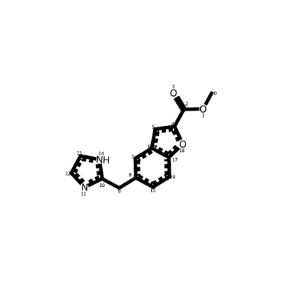 COC(=O)c1cc2cc(Cc3ncc[nH]3)ccc2o1